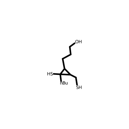 CCCCC1(S)C(CS)C1CCCO